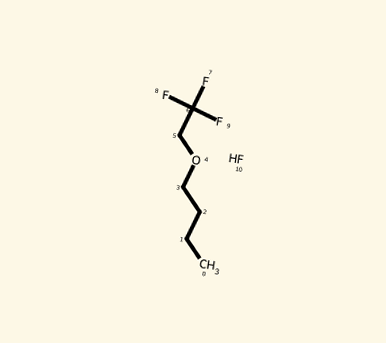 CCCCOCC(F)(F)F.F